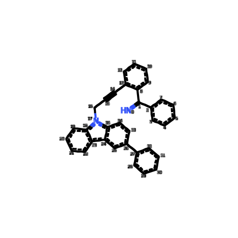 N=C(c1ccccc1)c1ccccc1C#CCn1c2ccccc2c2cc(-c3ccccc3)ccc21